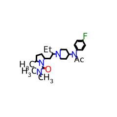 CCC(CC1CCC(C)N1C(=O)N(C)C)N1CCC(N(C(C)=O)c2ccc(F)cc2)CC1